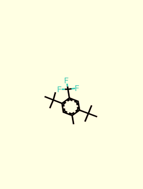 Cc1cc(C(C)(C)C)c(C(F)(F)F)cc1C(C)(C)C